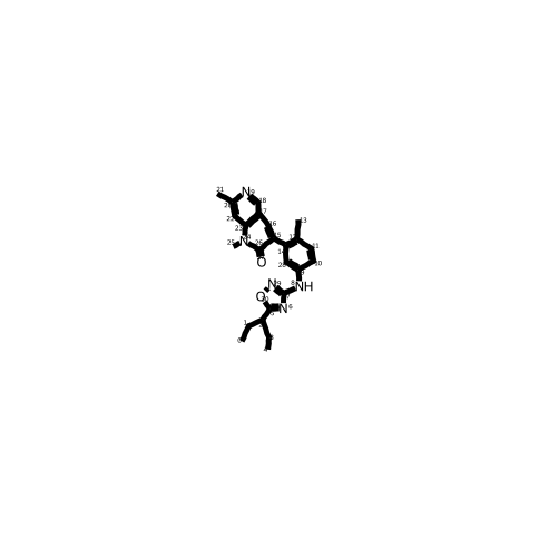 CCC(CC)c1nc(Nc2ccc(C)c(-c3cc4cnc(C)cc4n(C)c3=O)c2)no1